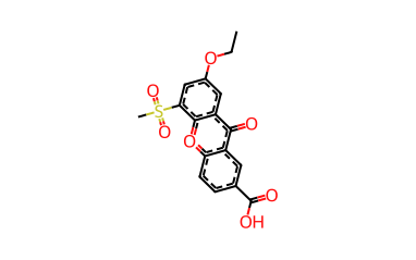 CCOc1cc(S(C)(=O)=O)c2oc3ccc(C(=O)O)cc3c(=O)c2c1